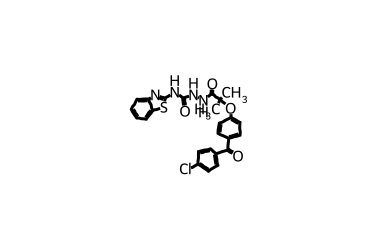 CC(C)(Oc1ccc(C(=O)c2ccc(Cl)cc2)cc1)C(=O)NNC(=O)Nc1nc2ccccc2s1